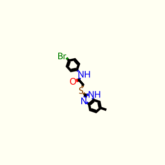 Cc1ccc2nc(SCC(=O)Nc3ccc(Br)cc3)[nH]c2c1